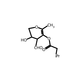 CC1=C(OC(=O)CC(C)C)C(C=O)C(O)CO1